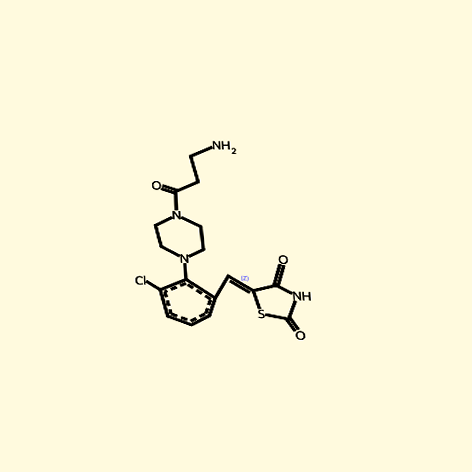 NCCC(=O)N1CCN(c2c(Cl)cccc2/C=C2\SC(=O)NC2=O)CC1